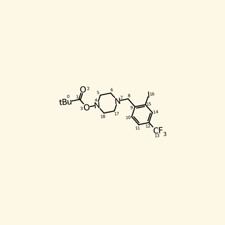 CC(C)(C)C(=O)ON1CCN(Cc2ccc(C(F)(F)F)cc2I)CC1